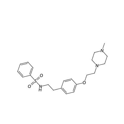 CN1CCN(CCOc2ccc(CCNS(=O)(=O)c3ccccc3)cc2)CC1